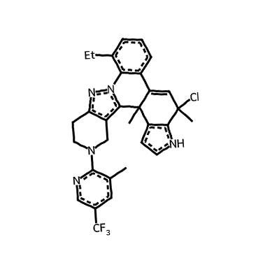 CCc1cccc2c1-n1nc3c(c1C1(C)C2=CC(C)(Cl)c2[nH]ccc21)CN(c1ncc(C(F)(F)F)cc1C)CC3